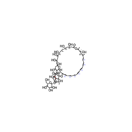 C[C@@H]1[C@H](O)[C@@H](C)/C=C/C=C/C=C/C=C/C=C/C=C/C=C/[C@H](O[C@@H]2O[C@H](C)[C@@H](O)[C@H](N)[C@@H]2O)C[C@@H]2O[C@](O)(C[C@@H](O)C[C@@H](O)[C@H](O)CC[C@@H](O)C[C@@H](O)CC(=O)O[C@H]1C)C[C@H](O)[C@H]2NC(=O)N1CC(O[C@H]2OC(CO)[C@@H](O)C(O)[C@H]2O)C1